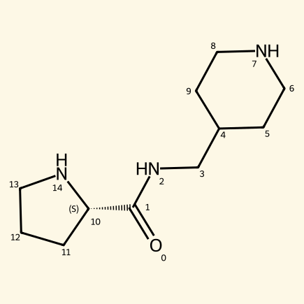 O=C(NCC1CCNCC1)[C@@H]1CCCN1